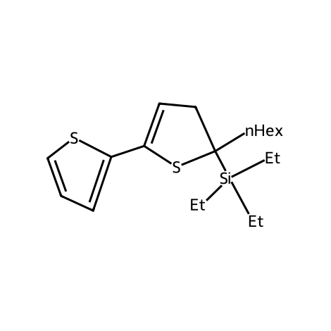 CCCCCCC1([Si](CC)(CC)CC)CC=C(c2cccs2)S1